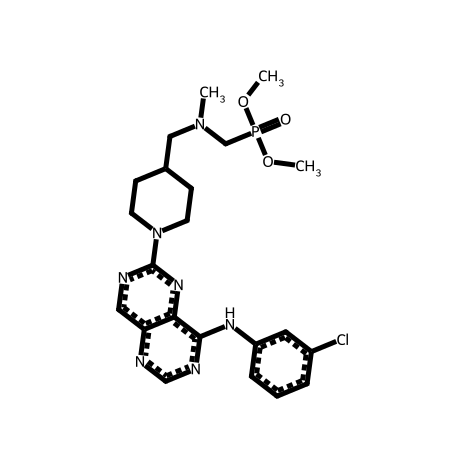 COP(=O)(CN(C)CC1CCN(c2ncc3ncnc(Nc4cccc(Cl)c4)c3n2)CC1)OC